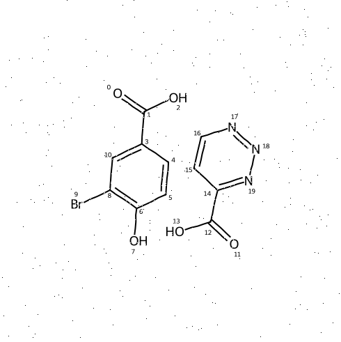 O=C(O)c1ccc(O)c(Br)c1.O=C(O)c1ccnnn1